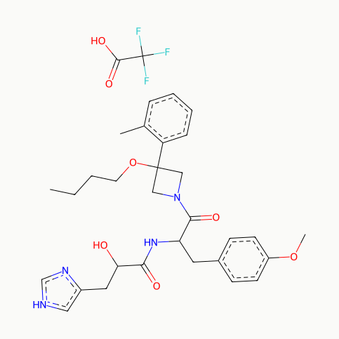 CCCCOC1(c2ccccc2C)CN(C(=O)C(Cc2ccc(OC)cc2)NC(=O)C(O)Cc2c[nH]cn2)C1.O=C(O)C(F)(F)F